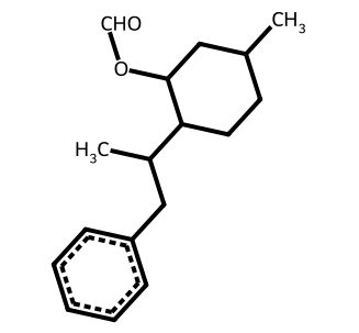 CC1CCC(C(C)Cc2ccccc2)C(OC=O)C1